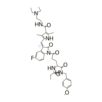 CCC(=O)NC(CCC(=O)N1C(=O)/C(=C\c2[nH]c(C)c(C(=O)NCCN(CC)CC)c2C)c2cc(F)ccc21)C(=O)NCc1ccc(OC)cc1